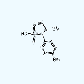 [CH2]C(N(c1ccc(N)cc1)S(C)(=O)=O)C(C)(C)C